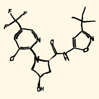 CC(C)(C)c1cc(NC(=O)[C@@H]2C[C@@H](O)CN2c2ncc(C(F)(F)F)cc2Cl)on1